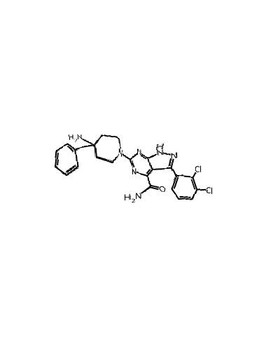 NC(=O)c1nc(N2CCC(N)(c3ccccc3)CC2)nc2[nH]nc(-c3cccc(Cl)c3Cl)c12